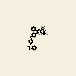 Cc1nc2ccccc2n1C1CCN(Cc2ccc(-c3nc(N)c([N+](=O)[O-])cc3-c3ccccc3)cc2)CC1